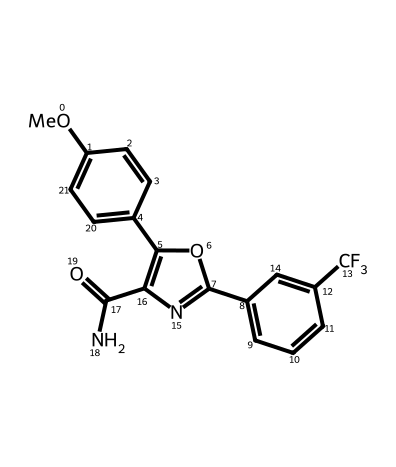 COc1ccc(-c2oc(-c3cccc(C(F)(F)F)c3)nc2C(N)=O)cc1